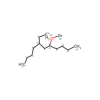 CCCCC(CC)CC(CCCC)[O][Zn]